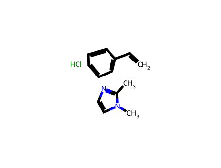 C=Cc1ccccc1.Cc1nccn1C.Cl